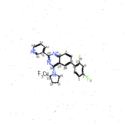 Fc1ccc(-c2ccc3nc(-c4cccnc4)nc(N4CCC[C@H]4C(F)(F)F)c3c2)c(F)c1